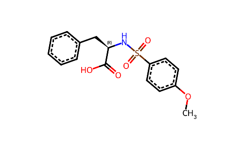 COc1ccc(S(=O)(=O)N[C@H](Cc2ccccc2)C(=O)O)cc1